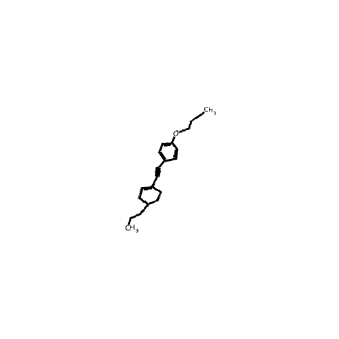 CCCCOc1ccc(C#CC2=CCC(CCC)CC2)cc1